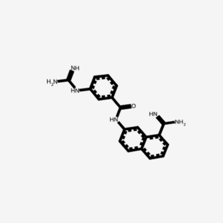 N=C(N)Nc1cccc(C(=O)Nc2ccc3cccc(C(=N)N)c3c2)c1